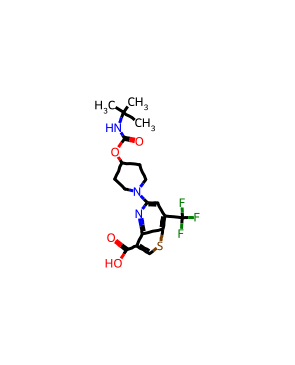 CC(C)(C)NC(=O)OC1CCN(c2cc(C(F)(F)F)c3scc(C(=O)O)c3n2)CC1